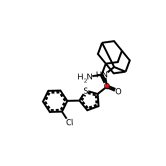 NC(=O)C12CC3CC(C1)C(NC(=O)c1ccc(-c4ccccc4Cl)s1)C(C3)C2